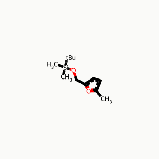 Cc1ccc(CO[Si](C)(C)C(C)(C)C)o1